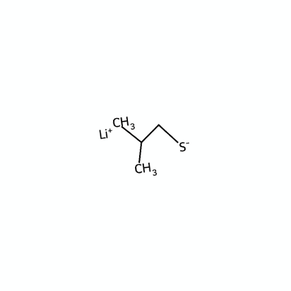 CC(C)C[S-].[Li+]